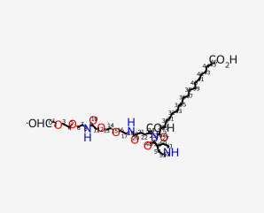 O=[C]COCCOCCNC(=O)COCCOCCNC(=O)CC[C@@H](C(=O)O)N(C(=O)CCCCCCCCCCCCCCCCCCC(=O)O)C(=O)C1CCNCC1